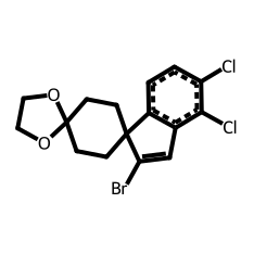 Clc1ccc2c(c1Cl)C=C(Br)C21CCC2(CC1)OCCO2